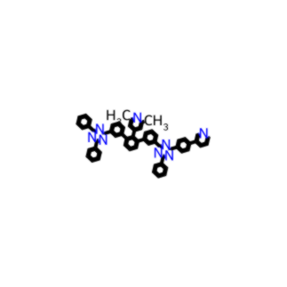 Cc1cc(-c2c(-c3cccc(-c4nc(-c5ccccc5)nc(-c5ccccc5)n4)c3)cccc2-c2cccc(-c3nc(-c4ccccc4)nc(-c4ccc(-c5cccnc5)cc4)n3)c2)cc(C)n1